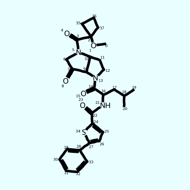 COC1(C(=O)N2CC(=O)C3C2CCN3C(=O)C(CC(C)C)NC(=O)c2ccc(-c3ccccc3)s2)CCC1